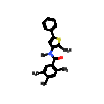 Cc1cc(C)c(C(=O)N(c2cc(-c3ccccc3)sc2C(=O)O)C(C)C)cc1C